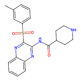 Cc1cccc(S(=O)(=O)c2nc3ccccc3nc2NC(=O)C2CCNCC2)c1